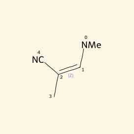 CN/C=C(/C)C#N